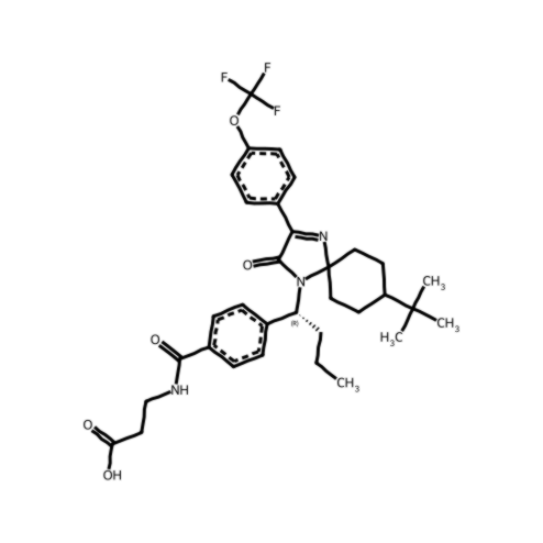 CCC[C@H](c1ccc(C(=O)NCCC(=O)O)cc1)N1C(=O)C(c2ccc(OC(F)(F)F)cc2)=NC12CCC(C(C)(C)C)CC2